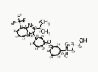 CC(C)c1nc2c(C(F)(F)F)cccn2c1-c1cccc(Oc2cccc(S(=O)(=O)CCCO)c2)c1